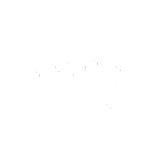 COC12C(COC(N)=O)C3=C(C(=O)C=C(N4CCNCC4)C3=O)N1CC1NC12